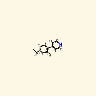 Cc1cc(C(C)C)ccc1-c1ccncc1